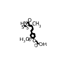 COc1cc(C=CC(C)=C2SC(=S)NC2=O)ccc1OCC(=O)O